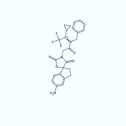 Nc1ccc2c(c1)CCC21OC(=O)N(CC(=O)N(Cc2ccccc2)[C@H](C2CC2)C(F)(F)F)C1=O